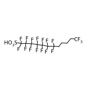 O=S(=O)(O)C(F)(F)C(F)(F)C(F)(F)C(F)(F)C(F)(F)C(F)(F)C(F)(F)CCCCC(F)(F)F